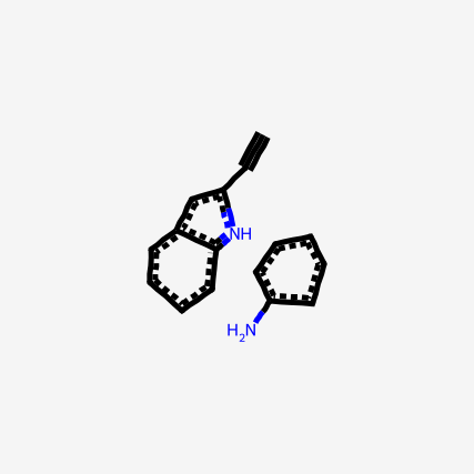 C#Cc1cc2ccccc2[nH]1.Nc1ccccc1